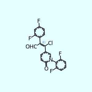 O=C/C(=C(/Cl)c1ccc(=O)n(-c2c(F)cccc2F)c1)c1ccc(F)cc1F